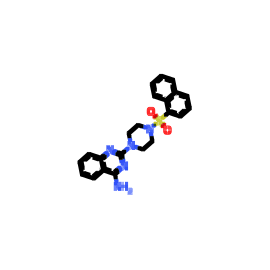 Nc1nc(N2CCN(S(=O)(=O)c3cccc4ccccc34)CC2)nc2ccccc12